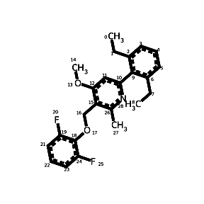 CCc1cccc(CC)c1-c1cc(OC)c(COc2c(F)cccc2F)c(C)n1